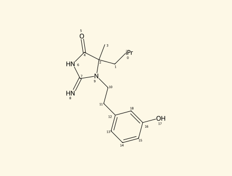 CC(C)CC1(C)C(=O)NC(=N)N1CCc1cccc(O)c1